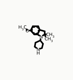 COc1ccc2c(c1)N(C1CCNCC1)C(C)(C)C2